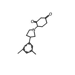 Cc1cc(C)cc(C2CCN(C3CCC(=O)CC3=O)C2)c1